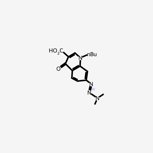 CCCCn1cc(C(=O)O)c(=O)c2ccc(/N=N/N(C)C)cc21